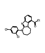 CCC(=O)c1cccc2nc3n(c12)CCCCN3c1ccc(Cl)cc1Cl